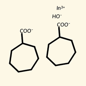 O=C([O-])C1CCCCCC1.O=C([O-])C1CCCCCC1.[In+3].[OH-]